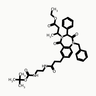 CCOC(=O)CC(C)N1C(=O)c2cc(CCC(=O)NCCNC(=O)OC(C)(C)C)ccc2N(Cc2ccccc2)C(=O)C1c1ccccc1